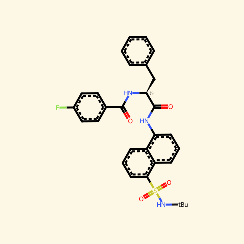 CC(C)(C)NS(=O)(=O)c1cccc2c(NC(=O)[C@H](Cc3ccccc3)NC(=O)c3ccc(F)cc3)cccc12